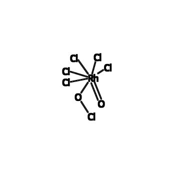 [O]=[Rh]([Cl])([Cl])([Cl])([Cl])([Cl])[O]Cl